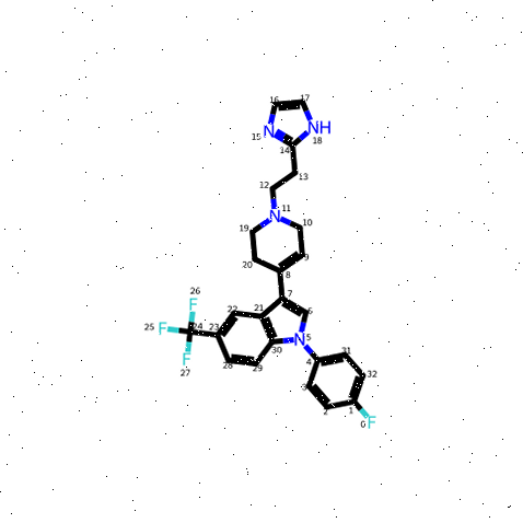 Fc1ccc(-n2cc(C3=CCN(CCc4ncc[nH]4)CC3)c3cc(C(F)(F)F)ccc32)cc1